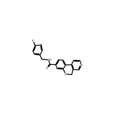 O=C(NCc1ccc(F)cc1)c1ccc2c(c1)OCc1cnccc1-2